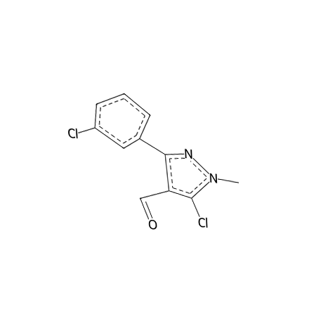 Cn1nc(-c2cccc(Cl)c2)c(C=O)c1Cl